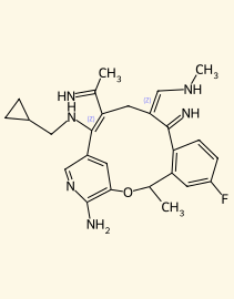 CN/C=C1/C/C(C(C)=N)=C(/NCC2CC2)c2cnc(N)c(c2)OC(C)c2cc(F)ccc2C1=N